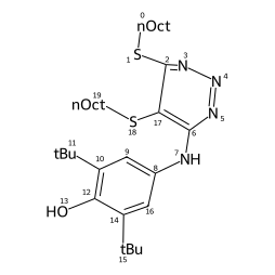 CCCCCCCCSc1nnnc(Nc2cc(C(C)(C)C)c(O)c(C(C)(C)C)c2)c1SCCCCCCCC